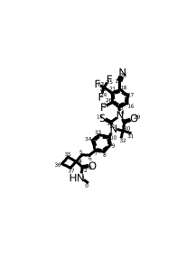 CNC(=O)C1(CCc2ccc(N3C(=S)N(c4ccc(C#N)c(C(F)(F)F)c4F)C(=O)C3(C)C)cc2)CCC1